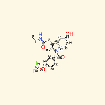 CCNC(=O)Cc1c(C)n(C(=O)c2ccc(OC(F)F)cc2)c2ccc(O)cc12